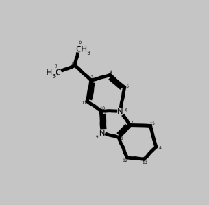 CC(C)c1ccn2c3c(nc2c1)CCCC3